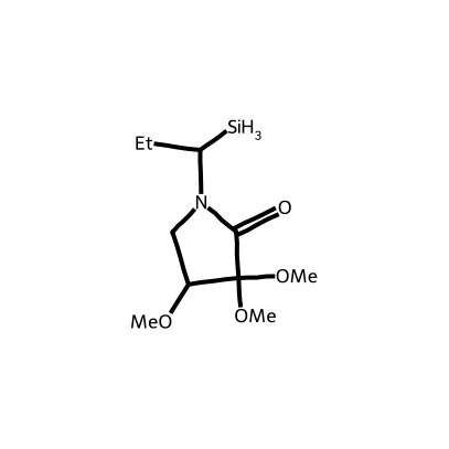 CCC([SiH3])N1CC(OC)C(OC)(OC)C1=O